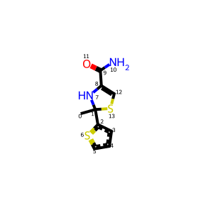 CC1(c2cccs2)NC(C(N)=O)=CS1